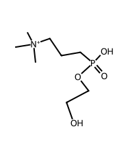 C[N+](C)(C)CCCP(=O)(O)OCCO